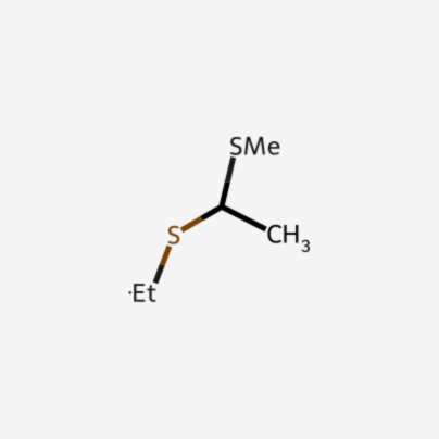 C[CH]SC(C)SC